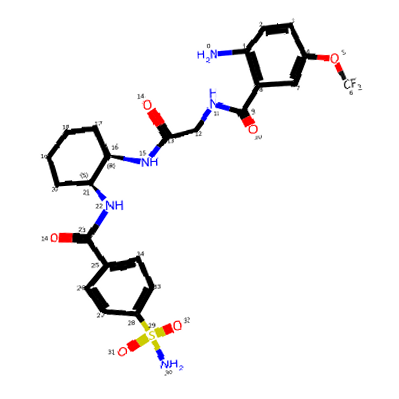 Nc1ccc(OC(F)(F)F)cc1C(=O)NCC(=O)N[C@@H]1CCCC[C@@H]1NC(=O)c1ccc(S(N)(=O)=O)cc1